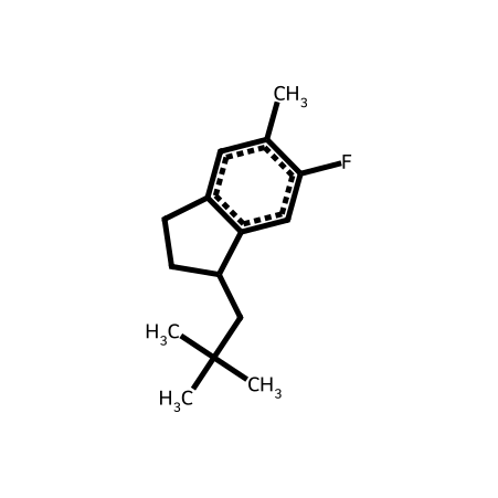 Cc1cc2c(cc1F)C(CC(C)(C)C)CC2